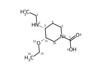 CCN[C@@H]1CCN(C(=O)O)C[C@@H]1OCC